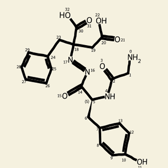 NCC(=O)N[C@@H](Cc1ccc(O)cc1)C(=O)N=NC(CC(=O)O)(Cc1ccccc1)C(=O)O